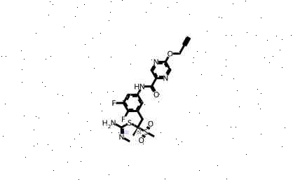 C#CCOc1cnc(C(=O)Nc2cc(F)c(F)c(C[C@@](C)(S/C(N)=N\C)S(C)(=O)=O)c2)cn1